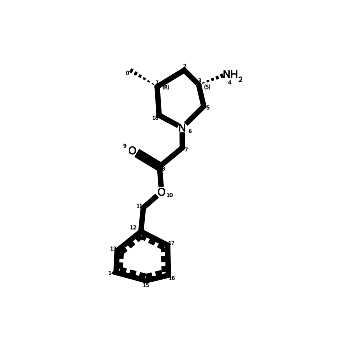 C[C@@H]1C[C@H](N)CN(CC(=O)OCc2ccccc2)C1